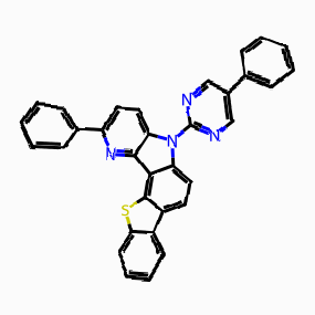 c1ccc(-c2cnc(-n3c4ccc(-c5ccccc5)nc4c4c5sc6ccccc6c5ccc43)nc2)cc1